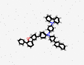 c1ccc(-c2cccc3c2oc2ccc(-c4ccc(N(c5ccc(-c6ccc7ccccc7c6)cc5)c5ccc(-n6c7ccccc7c7ccccc76)cc5)cc4)cc23)cc1